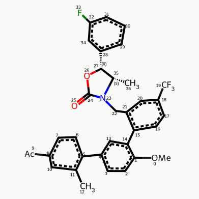 COc1ccc(-c2ccc(C(C)=O)cc2C)cc1-c1ccc(C(F)(F)F)cc1CN1C(=O)O[C@H](c2cccc(F)c2)[C@@H]1C